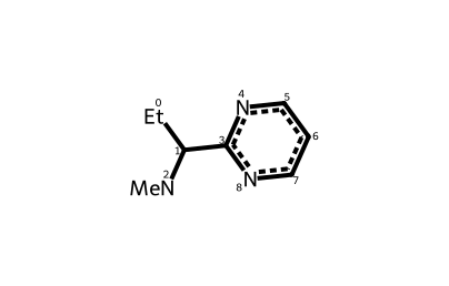 CCC(NC)c1ncccn1